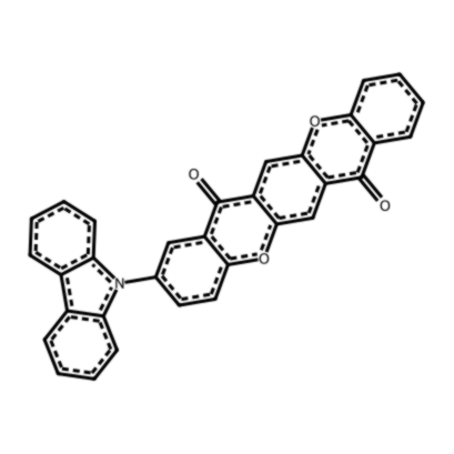 O=c1c2ccccc2oc2cc3c(=O)c4cc(-n5c6ccccc6c6ccccc65)ccc4oc3cc12